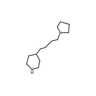 C(CCN1CCCC1)CC1CCNCC1